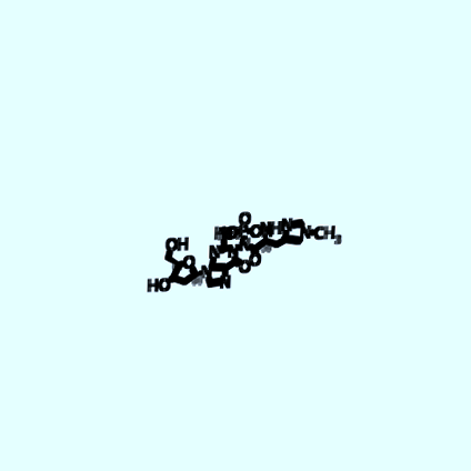 Cn1cnc(C[C@H](N)C(=O)N(n2c(N)nc3c(ncn3[C@H]3CC(O)[C@@H](CO)O3)c2=O)P(=O)(O)O)c1